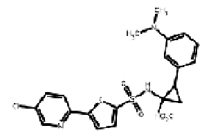 CN(C)c1cccc(C2CC2(NS(=O)(=O)c2ccc(-c3ccc(Cl)cn3)s2)C(=O)O)c1